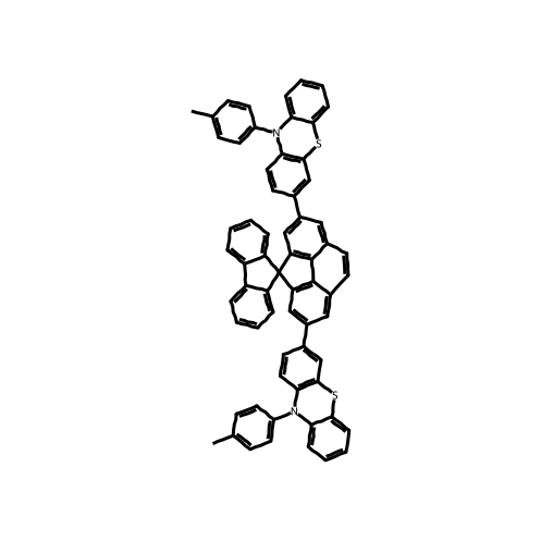 Cc1ccc(N2c3ccccc3Sc3cc(-c4cc5c6c(ccc7cc(-c8ccc9c(c8)Sc8ccccc8N9c8ccc(C)cc8)cc(c76)C56c5ccccc5-c5ccccc56)c4)ccc32)cc1